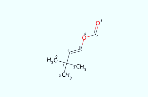 CC(C)(C)/C=C/OC=O